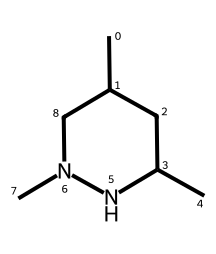 CC1CC(C)NN(C)C1